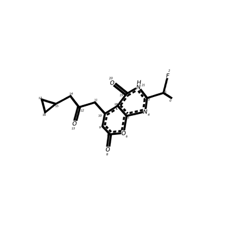 CC(F)c1nc2oc(=O)cc(CC(=O)CC3CC3)c2c(=O)[nH]1